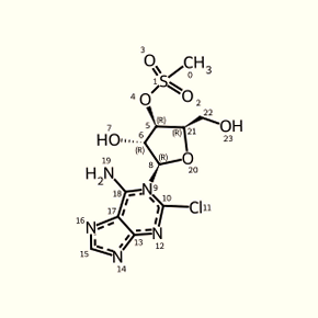 CS(=O)(=O)O[C@@H]1[C@@H](O)[C@H](n2c(Cl)nc3ncnc-3c2N)O[C@@H]1CO